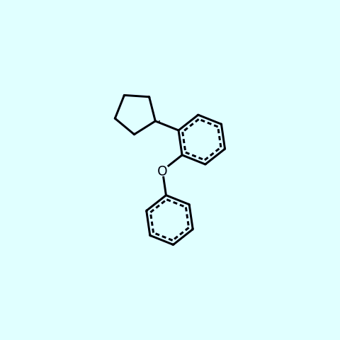 c1ccc(Oc2ccccc2[C]2CCCC2)cc1